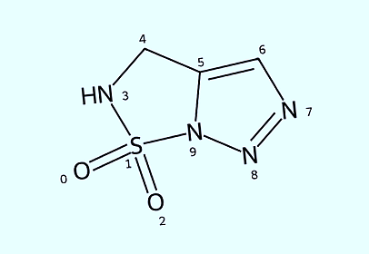 O=S1(=O)NCc2cnnn21